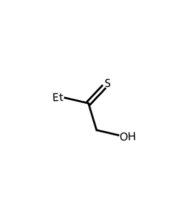 CCC(=S)CO